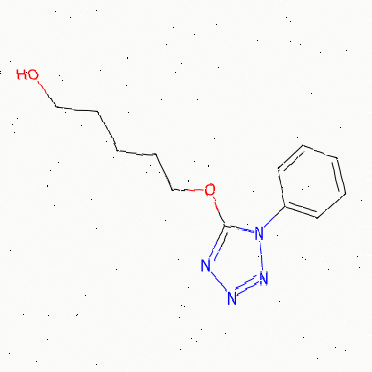 OCCCCCOc1nnnn1-c1ccccc1